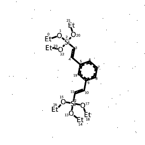 CCO[Si](C=Cc1cccc(C=C[Si](OCC)(OCC)OCC)c1)(OCC)OCC